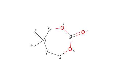 CC1(C)CCOC(=O)OC1